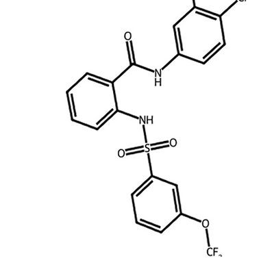 O=C(Nc1ccc(Cl)c(Cl)c1)c1ccccc1NS(=O)(=O)c1cccc(OC(F)(F)F)c1